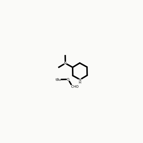 CC(C)(C)OC=O.CN(C)C1CCCNC1